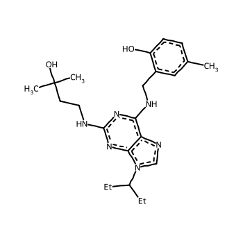 CCC(CC)n1cnc2c(NCc3cc(C)ccc3O)nc(NCCC(C)(C)O)nc21